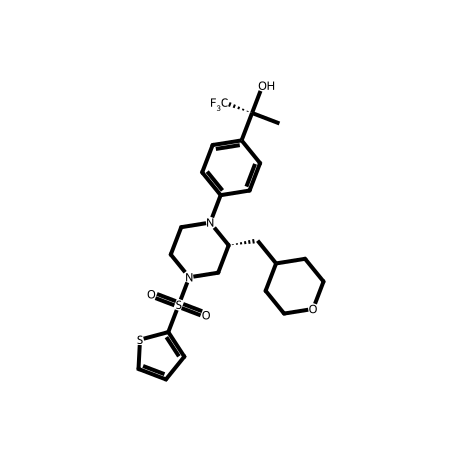 C[C@](O)(c1ccc(N2CCN(S(=O)(=O)c3cccs3)C[C@H]2CC2CCOCC2)cc1)C(F)(F)F